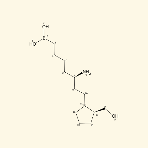 N[C@H](CCCCB(O)O)CCN1CCC[C@@H]1CO